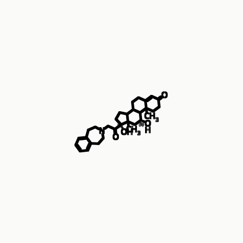 CC12CCC(=O)C=C1CCC1C2[C@@H](O)CC2(C)C1CC[C@]2(O)C(=O)CN1CCc2ccccc2CC1